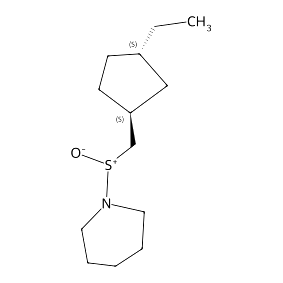 CC[C@H]1CC[C@H](C[S+]([O-])N2CCCCC2)C1